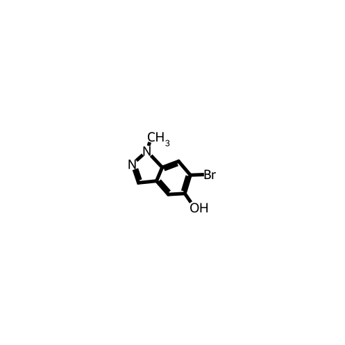 Cn1ncc2cc(O)c(Br)cc21